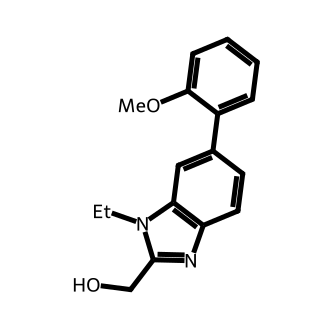 CCn1c(CO)nc2ccc(-c3ccccc3OC)cc21